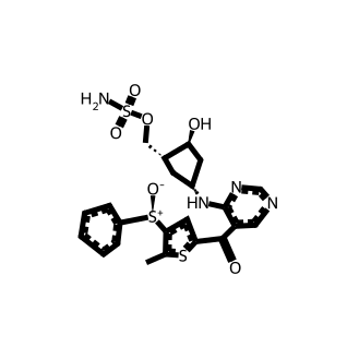 Cc1sc(C(=O)c2cncnc2N[C@@H]2C[C@H](COS(N)(=O)=O)[C@@H](O)C2)cc1[S@+]([O-])c1ccccc1